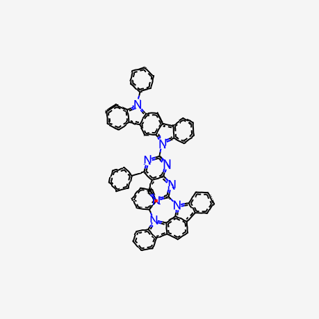 c1ccc(-c2nc(-n3c4ccccc4c4cc5c(cc43)c3ccccc3n5-c3ccccc3)nc3nc(-n4c5ccccc5c5ccc6c7ccccc7n(-c7ccccc7)c6c54)ncc23)cc1